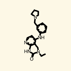 CCN1Cc2c(Nc3cccc(CN4CCCC4)c3)ccnc2NC1=O